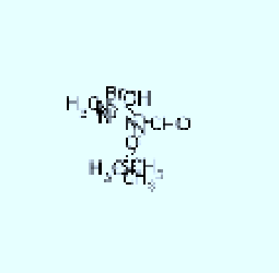 Cn1ncc(C(O)c2cc(C=O)n(COCC[Si](C)(C)C)n2)c1Br